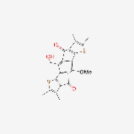 COc1c2c(=O)c3c(C)c(C)sc3c2c(CO)c2c(=O)c3c(C)c(C)sc3c12